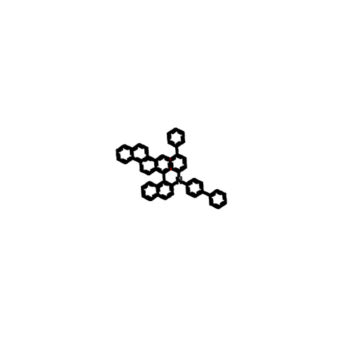 c1ccc(-c2ccc(N(c3ccc(-c4ccccc4)cc3)c3ccc4ccccc4c3-c3cccc4c3ccc3c5ccccc5ccc43)cc2)cc1